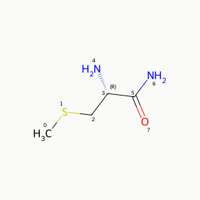 CSC[C@H](N)C(N)=O